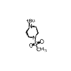 CC(C)(C)N1CCN(S(C)(=O)=O)CC1